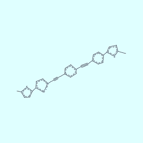 Cc1ccc(-c2ccc(C#Cc3ccc(C#Cc4ccc(-c5ccc(C)s5)cc4)cc3)cc2)s1